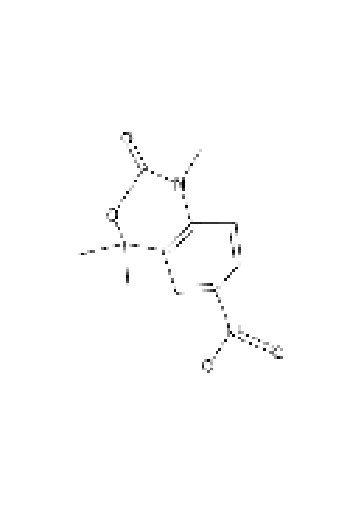 CN1C(=O)OC(C)(C)c2cc([N+](=O)[O-])ccc21